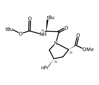 CCC[C@H]1C[C@@H](C(=O)OC)N(C(=O)[C@@H](NC(=O)OC(C)(C)C)C(C)(C)C)C1